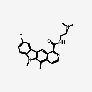 Cc1c2ccnc(C(=O)NCCN(C)C)c2cc2c3cc(F)ccc3n(C)c12